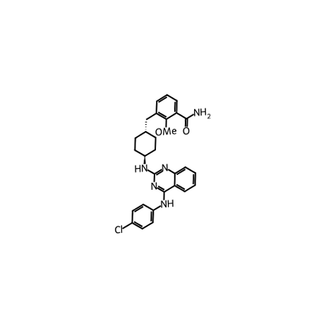 COc1c(C[C@H]2CC[C@H](Nc3nc(Nc4ccc(Cl)cc4)c4ccccc4n3)CC2)cccc1C(N)=O